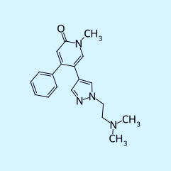 CN(C)CCn1cc(-c2cn(C)c(=O)cc2-c2ccccc2)cn1